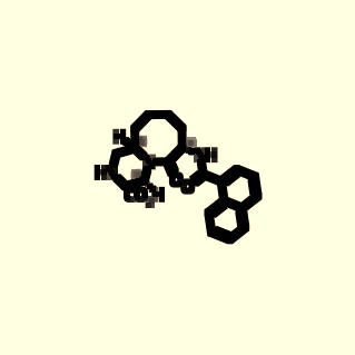 O=C(N[C@H]1CCCC[C@H]2CNC[C@@H](C(=O)O)N2C1=O)c1cccc2ccccc12